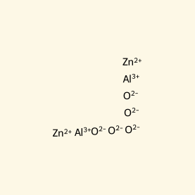 [Al+3].[Al+3].[O-2].[O-2].[O-2].[O-2].[O-2].[Zn+2].[Zn+2]